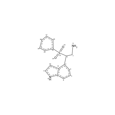 NCC(c1cccc2[nH]ccc12)S(=O)(=O)c1ccccc1